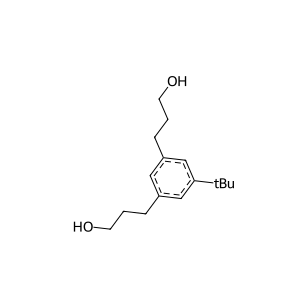 CC(C)(C)c1cc(CCCO)cc(CCCO)c1